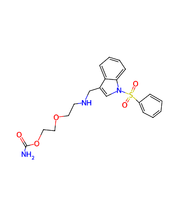 NC(=O)OCCOCCNCc1cn(S(=O)(=O)c2ccccc2)c2ccccc12